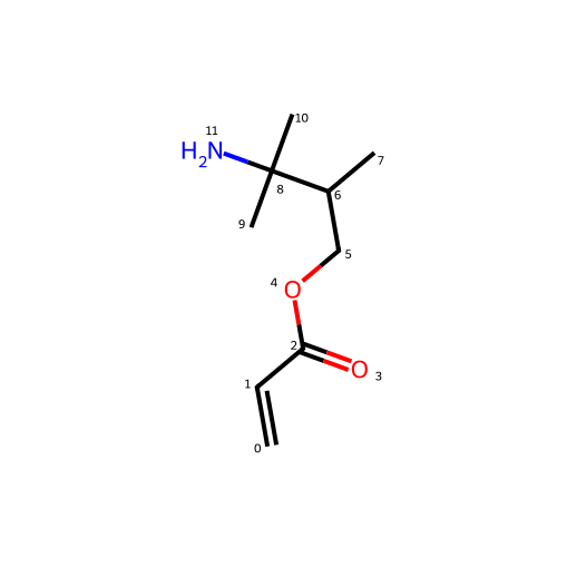 C=CC(=O)OCC(C)C(C)(C)N